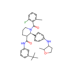 Cc1cccc(F)c1C(=O)N1CCCC(C(=O)Nc2cccc(C(C)(C)C)c2)[C@@H]1c1ccc(NC2CCOC2C)cc1